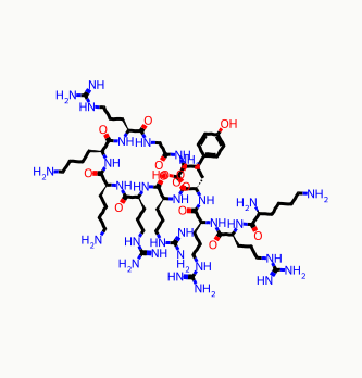 N=C(N)NCCC[C@H](NC(=O)[C@H](CCCCN)NC(=O)[C@H](CCCCN)NC(=O)[C@H](CCCNC(=N)N)NC(=O)[C@H](CCCNC(=N)N)NC(=O)[C@H](CCC(N)=O)NC(=O)[C@H](CCCNC(=N)N)NC(=O)[C@H](CCCNC(=N)N)NC(=O)[C@@H](N)CCCCN)C(=O)NCC(=O)N[C@@H](Cc1ccc(O)cc1)C(=O)O